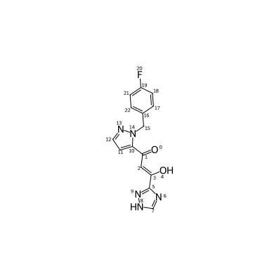 O=C(C=C(O)c1nc[nH]n1)c1ccnn1Cc1ccc(F)cc1